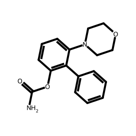 NC(=O)Oc1cccc(N2CCOCC2)c1-c1ccccc1